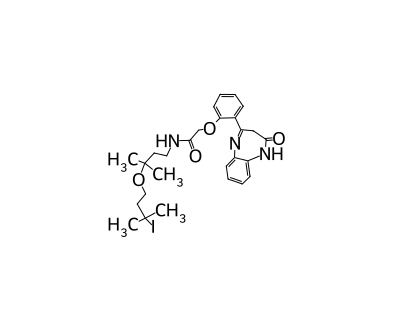 CC(C)(I)CCOC(C)(C)CCNC(=O)COc1ccccc1C1=Nc2ccccc2NC(=O)C1